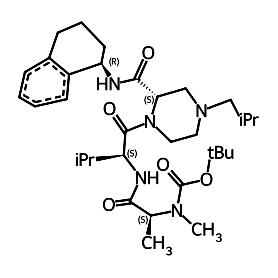 CC(C)CN1CCN(C(=O)[C@@H](NC(=O)[C@H](C)N(C)C(=O)OC(C)(C)C)C(C)C)[C@H](C(=O)N[C@@H]2CCCc3ccccc32)C1